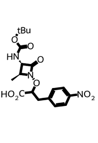 C[C@H]1[C@H](NC(=O)OC(C)(C)C)C(=O)N1OC(Cc1ccc([N+](=O)[O-])cc1)C(=O)O